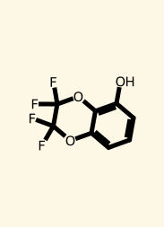 Oc1cccc2c1OC(F)(F)C(F)(F)O2